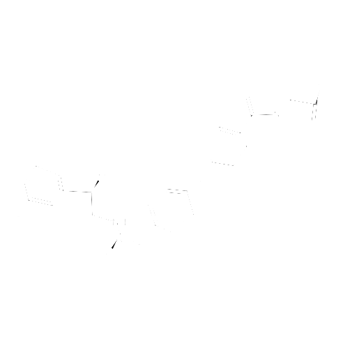 C[C@H](Cc1ccc(S(=O)(=O)c2ccc(C(=O)NCC(=O)O)cc2)cc1)NC[C@H](O)c1cccc(Cl)c1.Cl